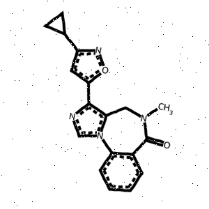 CN1Cc2c(-c3cc(C4CC4)no3)ncn2-c2ccccc2C1=O